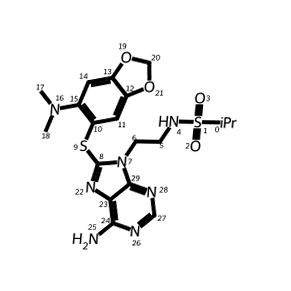 CC(C)S(=O)(=O)NCCn1c(Sc2cc3c(cc2N(C)C)OCO3)nc2c(N)ncnc21